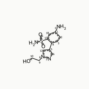 Nc1ccc(-c2cnn(CCO)c2)c(S(N)(=O)=O)c1